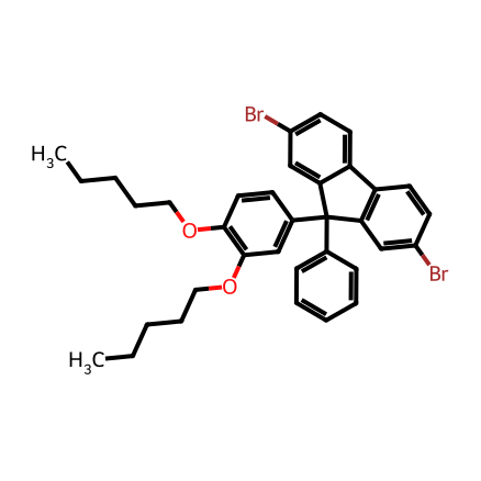 CCCCCOc1ccc(C2(c3ccccc3)c3cc(Br)ccc3-c3ccc(Br)cc32)cc1OCCCCC